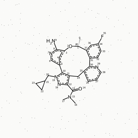 C[C@H]1Oc2cc(cnc2N)-c2c(c(C(=O)N(C)C)nn2CC2CC2)Cc2cccnc2-c2ccc(F)cc21